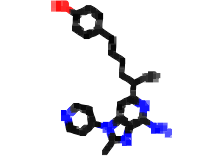 CCCC(CC/C=C/c1ccc(O)cc1)c1cc2c(nc(C)n2-c2ccncc2)c(N)n1